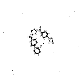 O=c1ccccn1-c1ccc(N[C@H]2CC[C@H](Nc3ncc(N4CCC4)cn3)C2)nc1